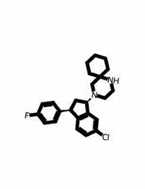 Fc1ccc([C@H]2C[C@H](N3CCNC4(CCCCC4)C3)c3cc(Cl)ccc32)cc1